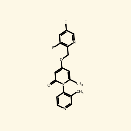 Cc1cnccc1-n1c(C)cc(OCc2ncc(F)cc2F)cc1=O